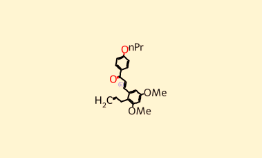 C=CCc1c(/C=C/C(=O)c2ccc(OCCC)cc2)cc(OC)cc1OC